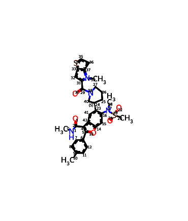 CNC(=O)c1c(-c2ccc(C)cc2)oc2cc(N(C)S(C)(=O)=O)c([C@@H]3CCCN(C(=O)c4cc5sccc5n4C)C3)cc12